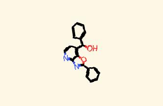 OC(c1ccccc1)c1ccnc2nc(-c3ccccc3)oc12